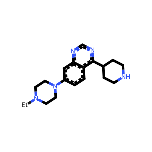 CCN1CCN(c2ccc3c(C4CCNCC4)ncnc3c2)CC1